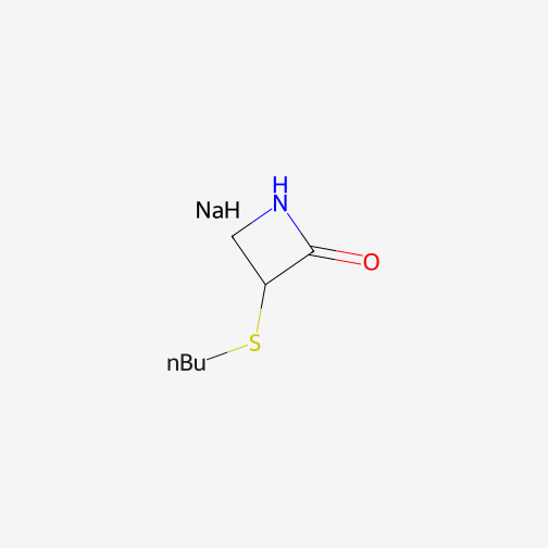 CCCCSC1CNC1=O.[NaH]